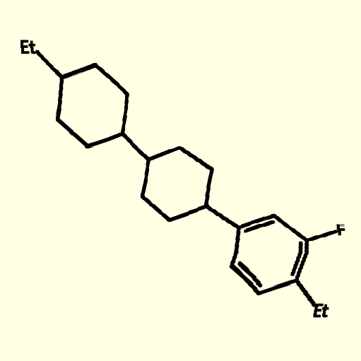 CCc1ccc(C2CCC(C3CCC(CC)CC3)CC2)cc1F